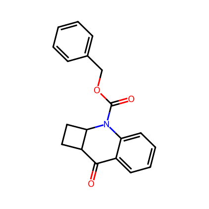 O=C1c2ccccc2N(C(=O)OCc2ccccc2)C2CCC12